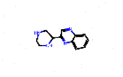 c1ccc2nc(C3CNCCN3)cnc2c1